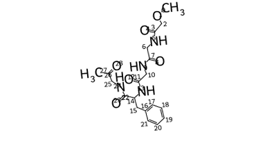 COCC(=O)NCC(=O)NCC(=O)NC(Cc1ccccc1)C(=O)NCC(C)=O